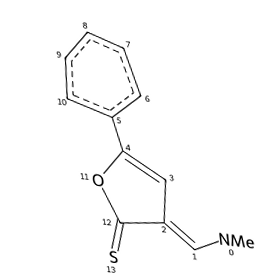 CN/C=C1\C=C(c2ccccc2)OC1=S